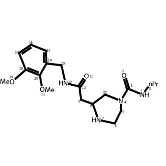 CCCNC(=O)N1CCNC(CC(=O)NCc2cccc(OC)c2OC)C1